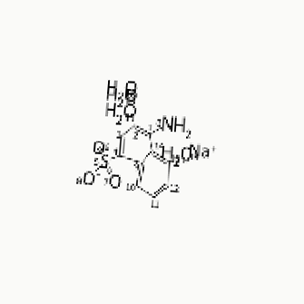 Nc1ccc(S(=O)(=O)[O-])c2ccccc12.O.O.O.O.[Na+]